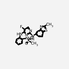 Cc1nc2cc(Nc3ncc(F)c(Nc4ccccc4NS(C)(=O)=O)n3)ccc2s1